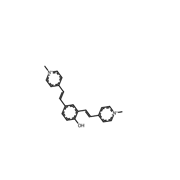 C[n+]1ccc(/C=C/c2ccc(O)c(/C=C/c3cc[n+](C)cc3)c2)cc1